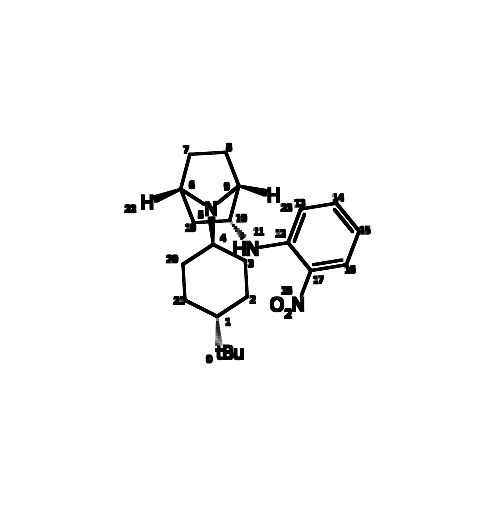 CC(C)(C)[C@H]1CC[C@H](N2[C@H]3CC[C@@H]2[C@H](Nc2ccccc2[N+](=O)[O-])C3)CC1